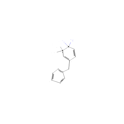 NC1(N)C=CC(Cc2ccccc2)=CC1(C(=O)O)C(=O)O